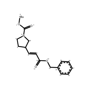 CC(C)(C)OC(=O)N1CCC(C=CC(=O)OCc2ccccc2)C1